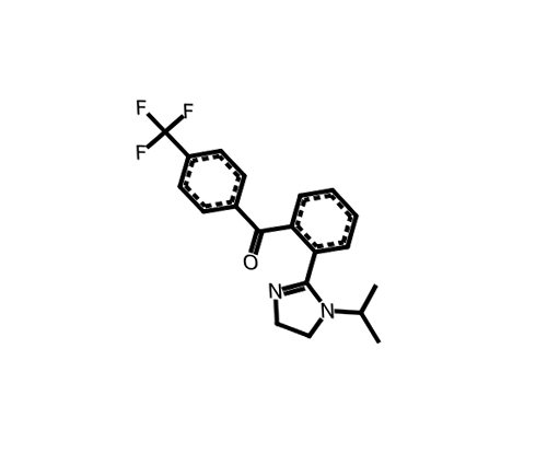 CC(C)N1CCN=C1c1ccccc1C(=O)c1ccc(C(F)(F)F)cc1